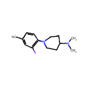 CN(C)C1CCN(c2ccc(C#N)cc2I)CC1